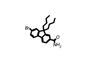 CCCCC1(CCCC)c2cc(Br)ccc2-c2ccc(C(N)=O)cc21